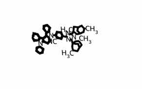 CC1CC2CC(C1)CC(C)(c1nc(-c3ccc(-n4c5ccccc5c5c6c7ccccc7n(-c7ccccc7)c6ccc54)c(C#N)c3)nc(C34CC(C)CC(CC(C)C3)C4)n1)C2